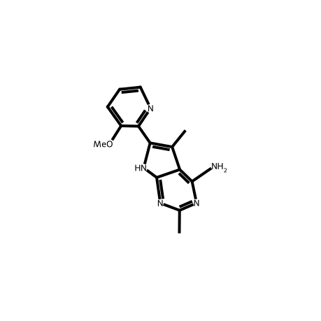 COc1cccnc1-c1[nH]c2nc(C)nc(N)c2c1C